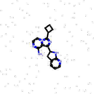 Nc1nccn2c(C3CCC3)nc(C3Cc4cccnc4N3)c12